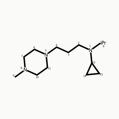 CC(C)N(CCCN1CCN(C)CC1)C1CC1